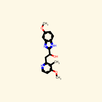 COc1ccc2[nH]c(C(O)Cc3nccc(OC)c3C)nc2c1